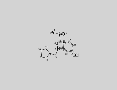 CC(C)C(=O)c1cn(CC2CCCC2)c2cc(Cl)ccc12